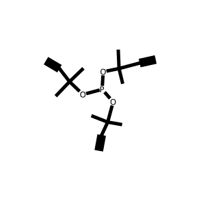 C#CC(C)(C)OP(OC(C)(C)C#C)OC(C)(C)C#C